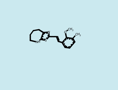 COc1c(C)cccc1C=Cc1nc2c(s1)NCCCC2